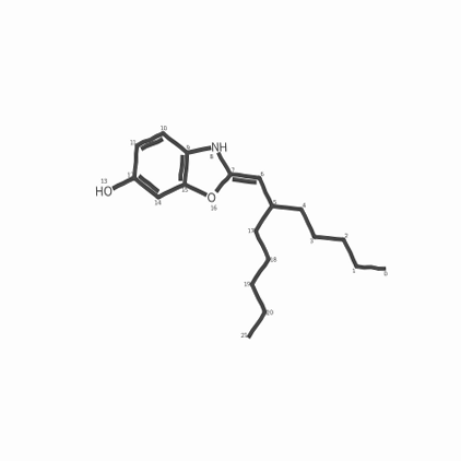 CCCCCC(C=C1Nc2ccc(O)cc2O1)CCCCC